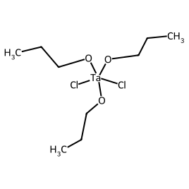 CCC[O][Ta]([Cl])([Cl])([O]CCC)[O]CCC